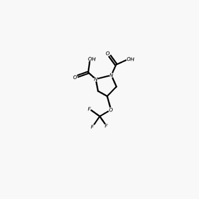 O=C(O)N1CC(OC(F)(F)F)CN1C(=O)O